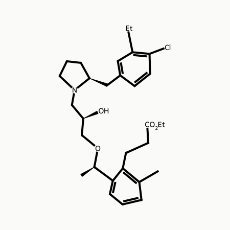 CCOC(=O)CCc1c(C)cccc1[C@@H](C)OC[C@H](O)CN1CCC[C@H]1Cc1ccc(Cl)c(CC)c1